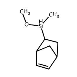 CO[SiH](C)C1CC2C=CC1C2